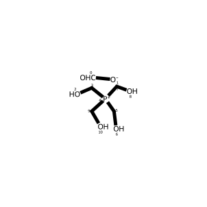 O=C[O-].OC[P+](CO)(CO)CO